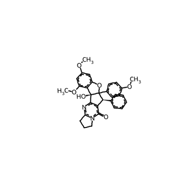 COc1ccc(C23Oc4cc(OC)cc(OC)c4[C@@]2(O)c2nc4n(c(=O)c2[C@@H]3c2ccccc2)CCC4)cc1